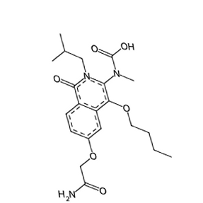 CCCCOc1c(N(C)C(=O)O)n(CC(C)C)c(=O)c2ccc(OCC(N)=O)cc12